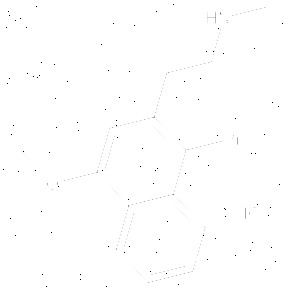 CNCCc1cc(OC)c2ccccc2c1Br.Cl